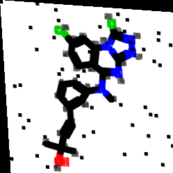 CN(c1cccc(C#CC(C)(C)O)c1)c1nc2nnc(Cl)n2c2cc(Cl)ccc12